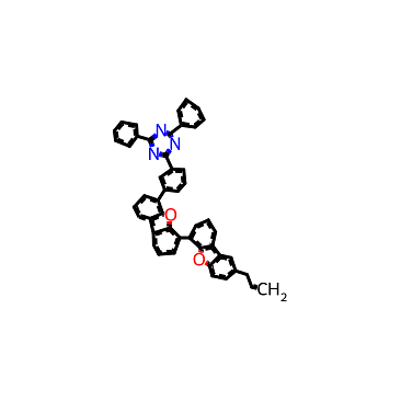 C=CCc1ccc2oc3c(-c4cccc5c4oc4c(-c6cccc(-c7nc(-c8ccccc8)nc(-c8ccccc8)n7)c6)cccc45)cccc3c2c1